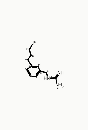 N=C(N)NCc1cccc(CCCI)c1